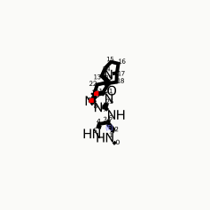 CN/C=C(\C=N)Nc1nccc(C2=CC3CCC(C2)N3C(=O)CC#N)n1